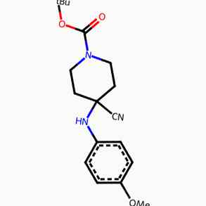 COc1ccc(NC2(C#N)CCN(C(=O)OC(C)(C)C)CC2)cc1